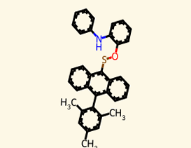 Cc1cc(C)c(-c2c3ccccc3c(SOc3ccccc3Nc3ccccc3)c3ccccc23)c(C)c1